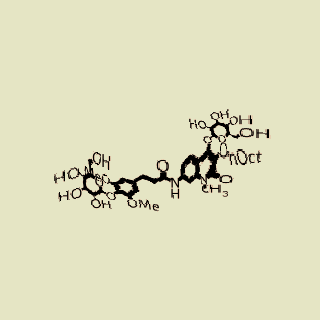 CCCCCCCCOc1c(O[C@@H]2O[C@H](CO)[C@@H](O)[C@H](O)[C@H]2O)c2ccc(NC(=O)C=Cc3cc(OC)c(O[C@@H]4O[C@H](CO)[C@@H](O)[C@H](O)[C@H]4O)c(OC)c3)cc2n(C)c1=O